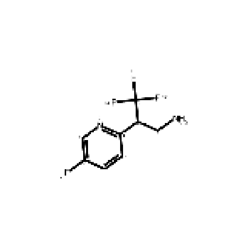 NCC(c1ccc(F)cn1)C(F)(F)F